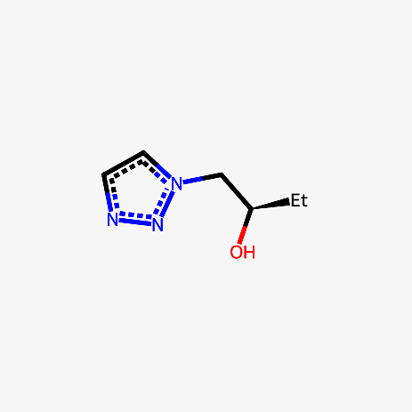 CC[C@@H](O)Cn1ccnn1